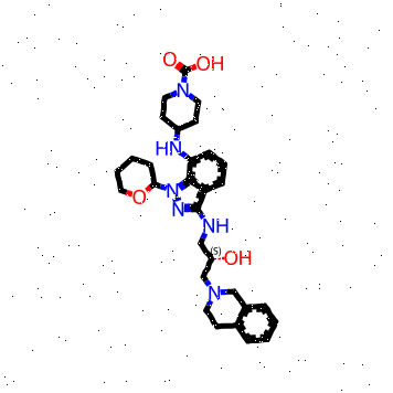 O=C(O)N1CCC(Nc2cccc3c(NC[C@H](O)CN4CCc5ccccc5C4)nn(C4CCCCO4)c23)CC1